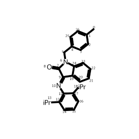 Cc1ccc(CN2C(=O)C(=Nc3c(C(C)C)cccc3C(C)C)c3ccccc32)cc1